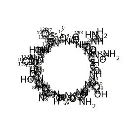 CCCC[C@H]1C(=O)N(C)[C@@H](COCC)C(=O)N[C@@H](CCCNC(=N)N)C(=O)NC(C(=O)NCC(N)=O)CSCC(=O)N[C@@H](Cc2ccc(O)cc2)C(=O)N(C)[C@@H](C)C(=O)N[C@@H](CC(N)=O)C(=O)N2CCC[C@H]2C(=O)N[C@@H](Cc2cnc[nH]2)C(=O)N[C@@H](CC(C)C)C(=O)N2C[C@H](O)CC2(C=O)N[C@@H](Cc2c[nH]c3ccccc23)C(=O)N[C@@H](CO)C(=O)N[C@@H](Cc2csc3ccccc23)C(=O)N1C